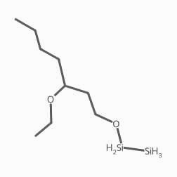 CCCCC(CCO[SiH2][SiH3])OCC